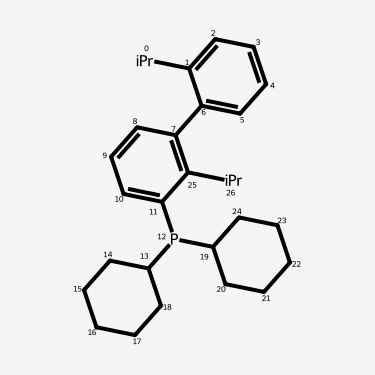 CC(C)c1ccccc1-c1cccc(P(C2CCCCC2)C2CCCCC2)c1C(C)C